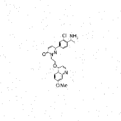 COc1ccc2c(OCCn3nc(-c4ccc(C(C)N)c(Cl)c4)ccc3=O)ccnc2c1